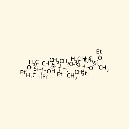 CCCC(C)(O[SiH](C)C(C)(CC)C(C)O[Si](C)(C)C(C)(CC)O[Si](C)(C)OCC)[Si](C)(C)OCC